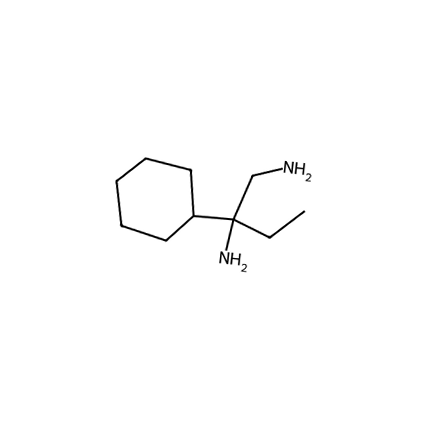 CCC(N)(CN)C1CCCCC1